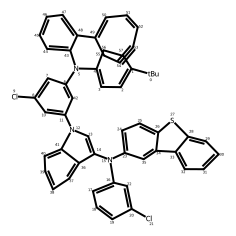 CC(C)(C)C1=CC=C(N(c2cc(Cl)cc(-n3cc(N(c4cccc(Cl)c4)c4ccc5sc6ccccc6c5c4)c4ccccc43)c2)c2ccccc2C2=CC=CC#CC2)CC1